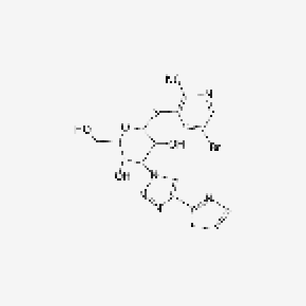 N#Cc1ncc(Br)cc1SC1OC(CO)C(O)C(n2cc(-c3nccs3)nn2)C1O